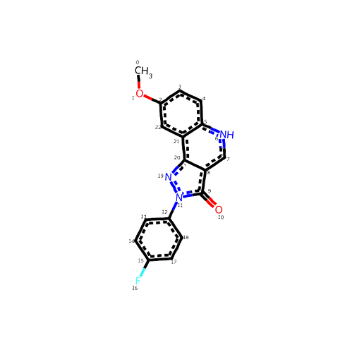 COc1ccc2[nH]cc3c(=O)n(-c4ccc(F)cc4)nc-3c2c1